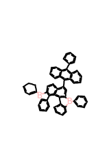 C1=CCCC(B2c3ccccc3-c3c2ccc2c(-c4c5ccccc5c(-c5ccccc5)c5ccccc45)cc4c(c32)-c2ccccc2B4c2ccccc2)=C1